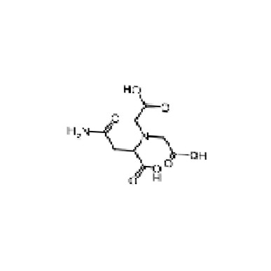 NC(=O)CC(C(=O)O)N(CC(=O)O)CC(=O)O